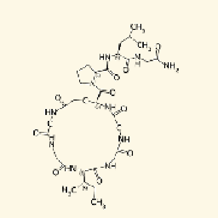 CC[C@H](C)[C@@H]1NC(=O)CNC(=O)CNC(=O)CC[C@@H](C(=O)N2CCC[C@H]2C(=O)N[C@@H](CC(C)C)C(=O)NCC(N)=O)NC(=O)CNC(=O)CNC1=O